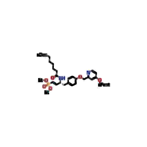 CCCCCCCCCCCCCCCC(=O)N[C@@H](/C=C/P(=O)(OCC)OCC)Cc1ccc(OCc2cc(OCCCCC)ccn2)cc1